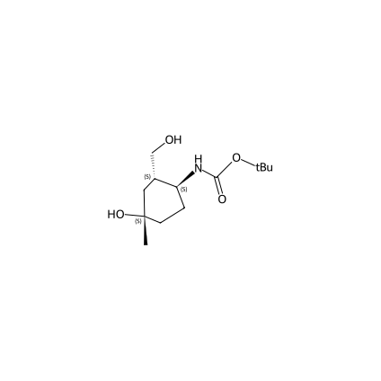 CC(C)(C)OC(=O)N[C@H]1CC[C@](C)(O)C[C@@H]1CO